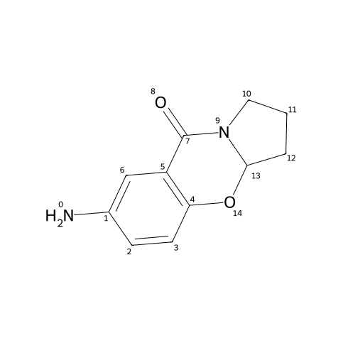 Nc1ccc2c(c1)C(=O)N1CCCC1O2